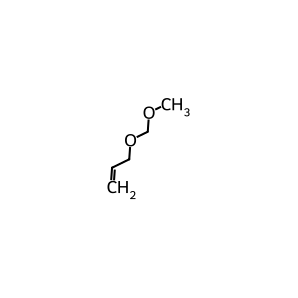 C=CCOCOC